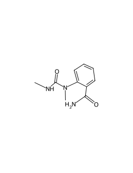 CNC(=O)N(C)c1ccccc1C(N)=O